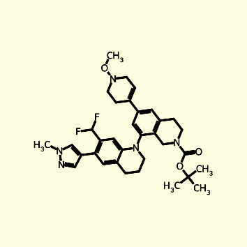 CON1CC=C(c2cc3c(c(N4CCCc5cc(-c6cnn(C)c6)c(C(F)F)cc54)c2)CN(C(=O)OC(C)(C)C)CC3)CC1